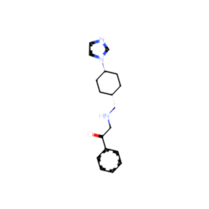 O=C(CNC[C@H]1CC[C@H](n2ccnc2)CC1)c1ccccc1